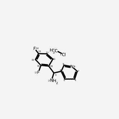 CCl.NC(c1cccnc1)c1ccc(F)cc1F